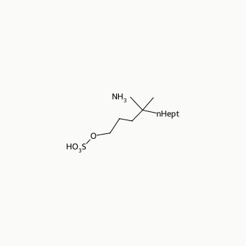 CCCCCCCC(C)(C)CCCOS(=O)(=O)O.N